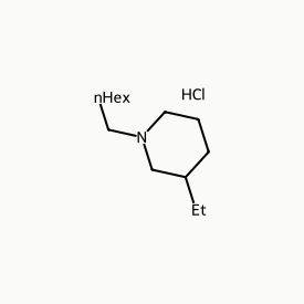 CCCCCCCN1CCCC(CC)C1.Cl